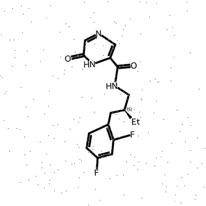 CC[C@H](CNC(=O)c1cncc(=O)[nH]1)Cc1ccc(F)cc1F